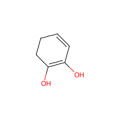 OC1=C(O)CCC=C1